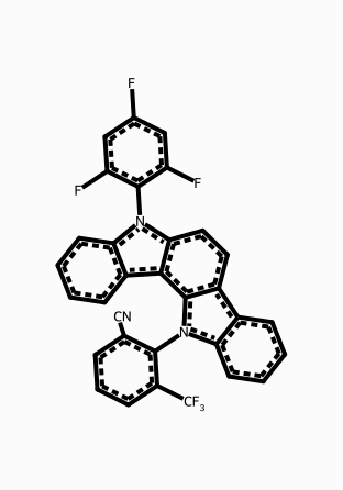 N#Cc1cccc(C(F)(F)F)c1-n1c2ccccc2c2ccc3c(c4ccccc4n3-c3c(F)cc(F)cc3F)c21